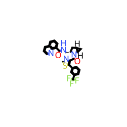 O=C(NC[C@@H]1C[C@@H]2C[C@@H]2N1C(=O)c1ncsc1-c1cccc(C(F)(F)F)c1)c1cccc2cccnc12